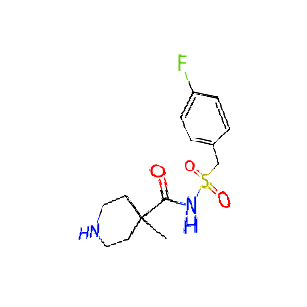 CC1(C(=O)NS(=O)(=O)Cc2ccc(F)cc2)CCNCC1